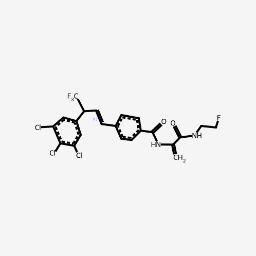 C=C(NC(=O)c1ccc(/C=C/C(c2cc(Cl)c(Cl)c(Cl)c2)C(F)(F)F)cc1)C(=O)NCCF